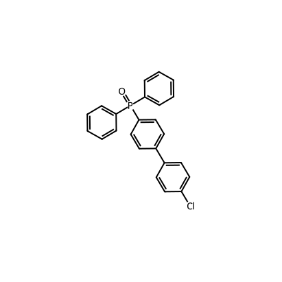 O=P(c1ccccc1)(c1ccccc1)c1ccc(-c2ccc(Cl)cc2)cc1